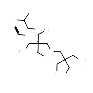 C=CC(=O)O.COCC(C)OC(C)=O.OCC(CO)(CO)COCC(CO)(CO)CO